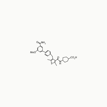 COc1cc(C(N)=O)cc(-c2ccc(Cc3c(C)sc(C)c3C(=O)NC3CCC(C(=O)O)CC3)cc2)c1